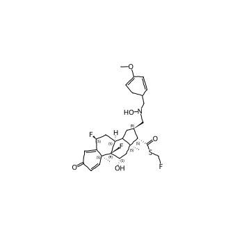 COC1=CCC(CN(O)C[C@@H]2CC3[C@@H]4C[C@H](F)C5=CC(=O)C=C[C@]5(C)[C@@]4(F)[C@@H](O)C[C@]3(C)[C@H]2C(=O)SCF)C=C1